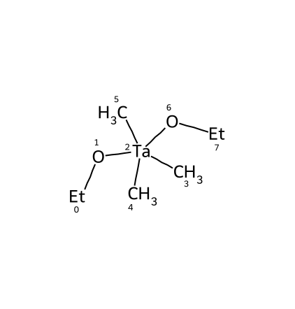 CC[O][Ta]([CH3])([CH3])([CH3])[O]CC